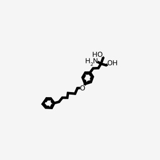 NC(CO)(CO)CCc1ccc(OCCCCCCc2ccccc2)cc1